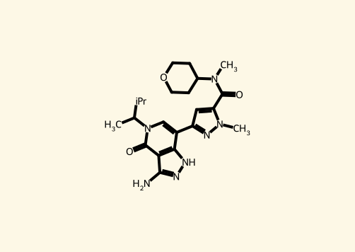 CC(C)C(C)n1cc(-c2cc(C(=O)N(C)C3CCOCC3)n(C)n2)c2[nH]nc(N)c2c1=O